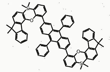 CC1(C)c2ccccc2-c2c1ccc1c2Oc2c(-c3ccc4c(-c5ccccc5)c5cc(-c6cccc7c6Oc6c(ccc8c6-c6ccccc6C8(C)C)[Si]7(C)C)ccc5c(-c5ccccc5)c4c3)cccc2[Si]1(C)C